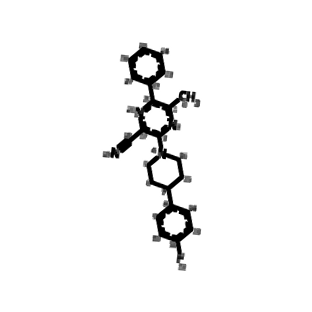 Cc1nc(N2CCC(c3ccc(F)cc3)CC2)c(C#N)nc1-c1ccccc1